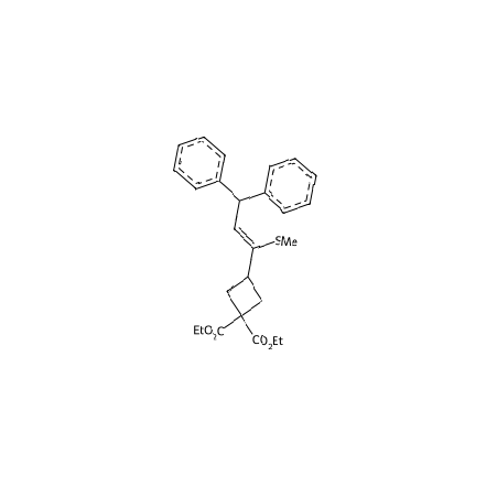 CCOC(=O)C1(C(=O)OCC)CC(C(=CC(c2ccccc2)c2ccccc2)SC)C1